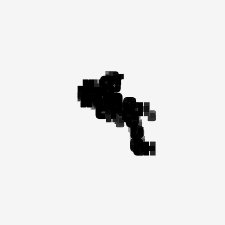 CC(C)OC(=O)OCOP(=O)(CO[C@H](C)Cn1cnc2c(N)ncnc21)OCOC(=O)C(C)(C)COCCOCCOO